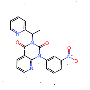 CC(c1ccccn1)n1c(=O)c2cccnc2n(-c2cccc([N+](=O)[O-])c2)c1=O